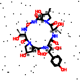 C[C@@H](O)[C@@H]1NC(=O)[C@H]([C@H](O)[C@@H](O)c2ccc(O)cc2)NC(=O)[C@@H]2C[C@@H](O)CN2C(=O)[C@H]([C@@H](C)O)NONC(=O)[C@@H]2[C@@H](O)[C@@H](C)CN2C1=O